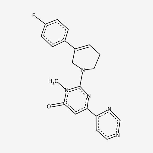 Cn1c(N2CCC=C(c3ccc(F)cc3)C2)nc(-c2ccncn2)cc1=O